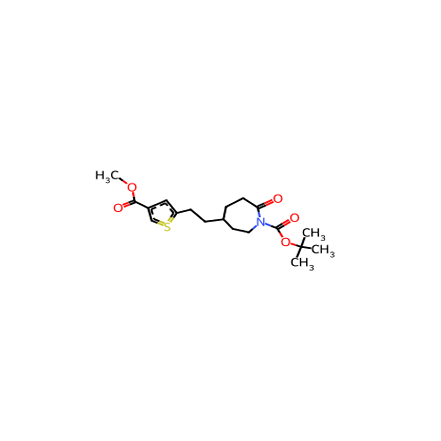 COC(=O)c1csc(CCC2CCC(=O)N(C(=O)OC(C)(C)C)CC2)c1